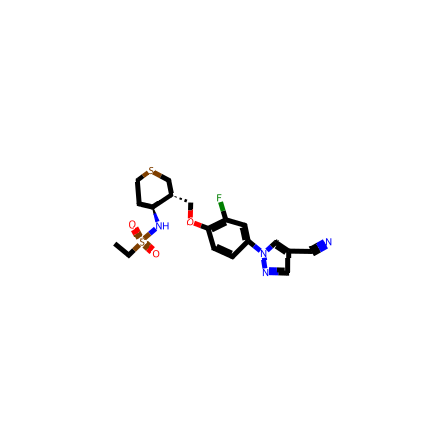 CCS(=O)(=O)N[C@H]1CCSC[C@@H]1COc1ccc(-n2cc(C#N)cn2)cc1F